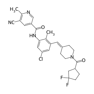 Cc1ncc(C(=O)Nc2cc(Cl)cc(C=C3CCN(C(=O)C4CCC(F)(F)C4)CC3)c2C)cc1C#N